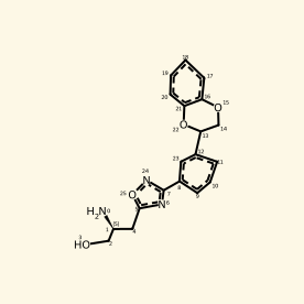 N[C@H](CO)Cc1nc(-c2cccc(C3COc4ccccc4O3)c2)no1